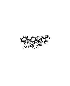 COCC1CN(c2ncccc2C(F)(F)F)CCN1C1(OC(=O)C(F)(F)F)Nc2ccc(C(F)(F)F)cc2N1